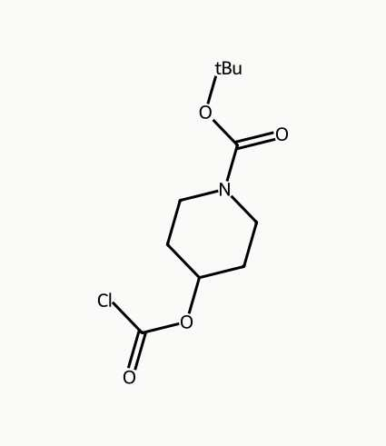 CC(C)(C)OC(=O)N1CCC(OC(=O)Cl)CC1